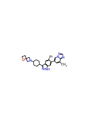 Cc1cc(-c2cc3[nH]nc(C4CCC(N5CC6(CCO6)C5)CC4)c3cc2C(C)C)cn2ncnc12